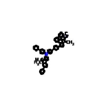 C=CC1=C(/C=C\C)c2ccccc2C12c1ccccc1-c1c(-c3ccc(-c4ccc(N(c5ccc(-c6ccccc6)cc5)c5ccc6c(c5)C(C)(C)c5cc(-c7ccccc7)ccc5-6)cc4)cc3)cccc12